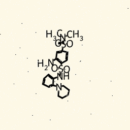 CN(C)S(=O)(=O)c1ccc(S(=O)(=O)Nc2ccccc2N2CCCCC2)c(N)c1